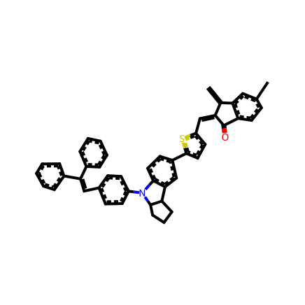 C=C1/C(=C/c2ccc(-c3ccc4c(c3)C3CCCC3N4c3ccc(C=C(c4ccccc4)c4ccccc4)cc3)s2)C(=O)c2ccc(C)cc21